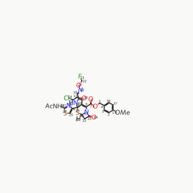 COc1ccc(COC(=O)C2=C(/C=C\CCl)C(NC(=O)C=NOCF)(c3csc(NC(C)=O)n3)S[C@H]3CC(=O)N23)cc1